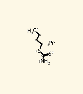 CCCCSC(N)=S.[Pr]